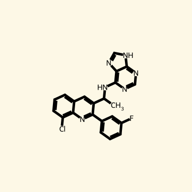 CC(Nc1ncnc2[nH]cnc12)c1cc2cccc(Cl)c2nc1-c1cccc(F)c1